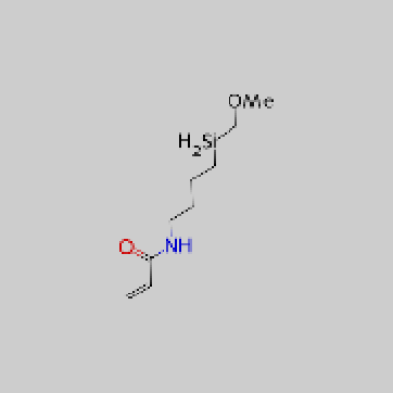 C=CC(=O)NCCCC[SiH2]COC